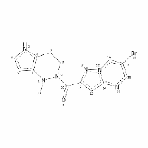 CN1c2cc[nH]c2CCN1C(=O)c1cc2ncc(Br)cn2n1